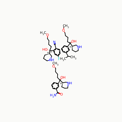 COCCCC[C@@](O)(c1cc(F)ccc1C#N)[C@@H]1CCCNC1.COCCCC[C@@](O)(c1cccc(C(C)C)c1)[C@@H]1CCCNC1.COCCCC[C@@](O)(c1cccc(C(N)=O)c1)[C@@H]1CCCNC1